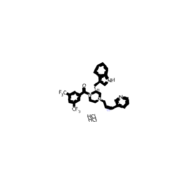 Cl.Cl.O=C(c1cc(C(F)(F)F)cc(C(F)(F)F)c1)N1CCN(C/C=C\c2cccnc2)C[C@H]1Cc1c[nH]c2ccccc12